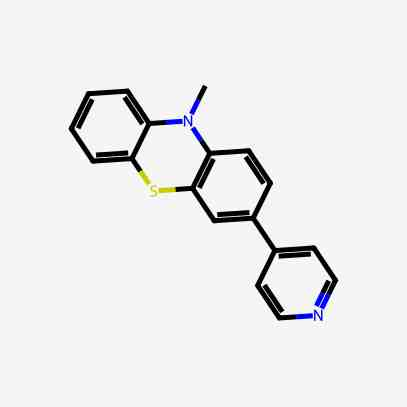 CN1c2ccccc2Sc2cc(-c3ccncc3)ccc21